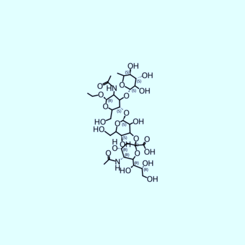 CCO[C@@H]1OC(CO)[C@@H](O[C@@H]2OC(CO)[C@H](O)C(O[C@]3(C(=O)O)C[C@@H](O)[C@@H](NC(C)=O)C([C@H](O)[C@H](O)CO)O3)C2O)C(O[C@@H]2OC(C)[C@@H](O)[C@H](O)C2O)C1NC(C)=O